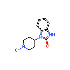 O=c1[nH]c2ccccc2n1C1CCN(Cl)CC1